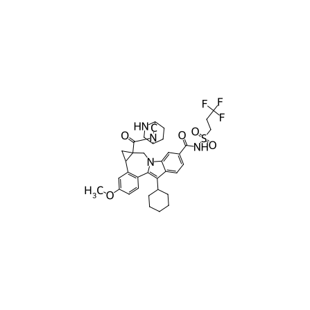 COc1ccc2c(c1)C1CC1(C(=O)N1CC3CCC1CN3)Cn1c-2c(C2CCCCC2)c2ccc(C(=O)NS(=O)(=O)CCC(F)(F)F)cc21